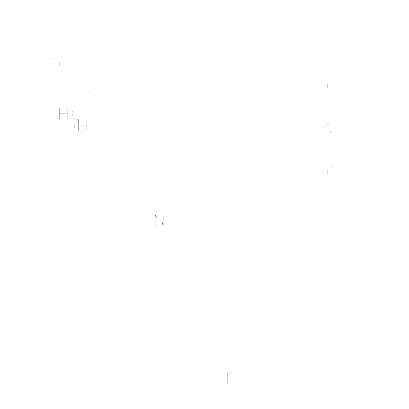 CC(C)(CCS(C)(=O)=O)c1c(-c2ccccc2C(=O)O)c2c(O)cccc2n1-c1ccc(F)cc1